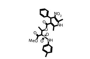 COC(=O)C(C(C)OC(=O)C1=C(C)NC(C)=C([N+](=O)[O-])C1c1ccccc1)S(=O)(=O)Nc1ccc(C)cc1